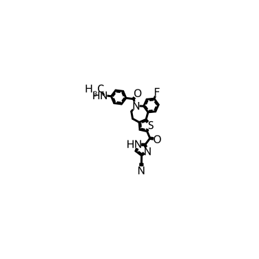 CNc1ccc(C(=O)N2CCc3cc(C(=O)c4nc(C#N)c[nH]4)sc3-c3ccc(F)cc32)cc1